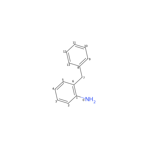 Nc1ccc[c]c1Cc1ccccc1